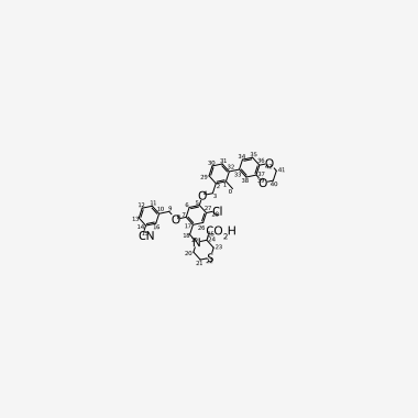 Cc1c(COc2cc(OCc3cccc(C#N)c3)c(CN3CCSCC3C(=O)O)cc2Cl)cccc1-c1ccc2c(c1)OCCO2